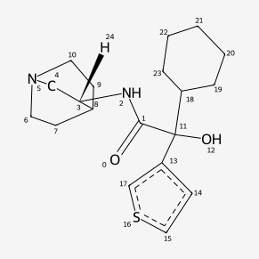 O=C(N[C@H]1CN2CCC1CC2)C(O)(c1ccsc1)C1CCCCC1